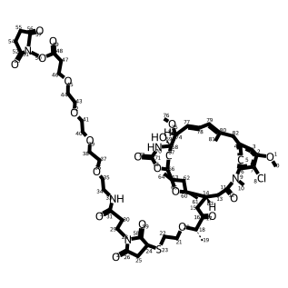 COc1cc2cc(c1Cl)N(C)C(=O)C[C@H](CC(=O)[C@H](C)OCCSC1CC(=O)N(CCC(=O)NCCOCCOCCOCCOCCC(=O)ON3C(=O)CCC3=O)C1=O)[C@@]1(C)CC(C)(O1)C1C[C@@](O)(NC(=O)O1)[C@H](OC)/C=C/C=C(\C)C2